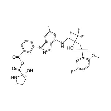 COc1ccc(F)cc1C(C)(C)CC(O)(CNc1cc(C)cc2c1cnn2-c1cccc(C(=O)OC(=O)[C@@]2(O)CCCN2)c1)C(F)(F)F